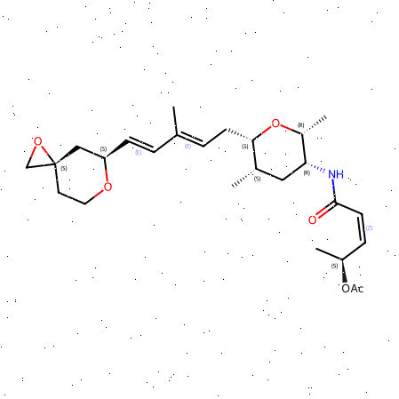 CC(=O)O[C@@H](C)/C=C\C(=O)N[C@@H]1C[C@H](C)[C@H](C/C=C(C)/C=C/[C@@H]2C[C@@]3(CCO2)CO3)O[C@@H]1C